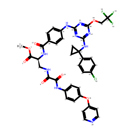 COC(=O)[C@H](CNC(=O)C(=O)Nc1ccc(Oc2ccncc2)cc1)NC(=O)c1ccc(Nc2nc(NC3(c4ccc(Cl)cc4)CC3)nc(OCC(F)(F)F)n2)cc1